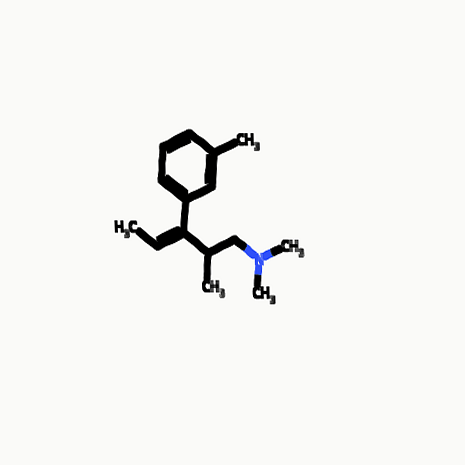 C/C=C(\c1cccc(C)c1)C(C)CN(C)C